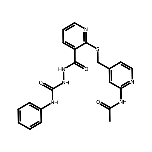 CC(=O)Nc1cc(CSc2ncccc2C(=O)NNC(=O)Nc2ccccc2)ccn1